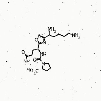 NCCCC[C@H](N)c1noc([C@H](CCC(N)=O)NC(=O)N2CCC[C@@H]2C(=O)O)n1